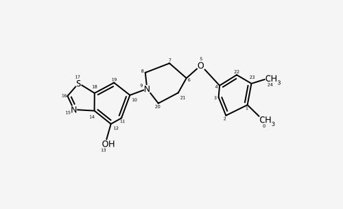 Cc1ccc(OC2CCN(c3cc(O)c4ncsc4c3)CC2)cc1C